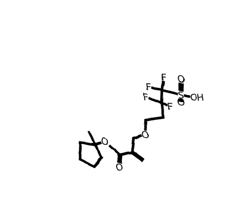 C=C(COCCC(F)(F)C(F)(F)S(=O)(=O)O)C(=O)OC1(C)CCCC1